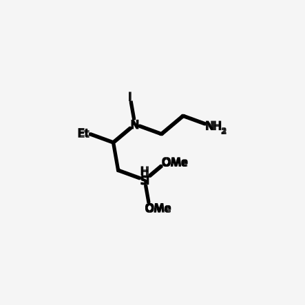 CCC(C[SiH](OC)OC)N(I)CCN